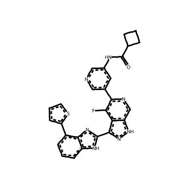 O=C(Nc1cncc(-c2ncc3[nH]nc(-c4nc5c(-c6cccs6)cccc5[nH]4)c3c2F)c1)C1CCC1